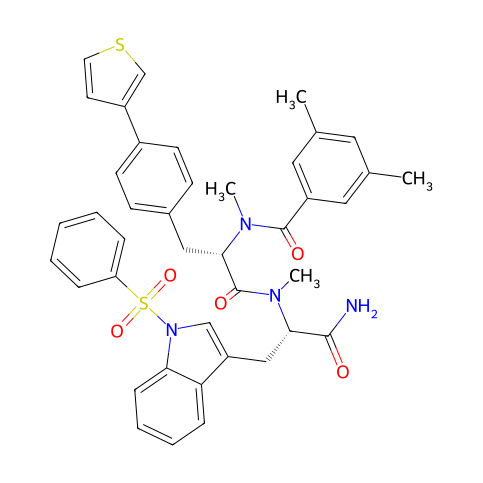 Cc1cc(C)cc(C(=O)N(C)[C@@H](Cc2ccc(-c3ccsc3)cc2)C(=O)N(C)[C@@H](Cc2cn(S(=O)(=O)c3ccccc3)c3ccccc23)C(N)=O)c1